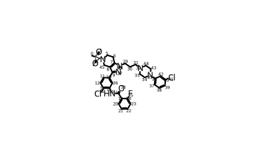 CS(=O)(=O)N1CCc2c(c(-c3ccc(Cl)c(NC(=O)c4ccccc4F)c3)nn2CCCN2CCN(c3cccc(Cl)c3)CC2)C1